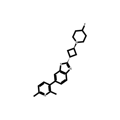 Cc1ccc(-c2ccc3nc([C@H]4C[C@H](N5CCC(F)CC5)C4)sc3c2)c(C)n1